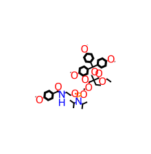 CCOC(=O)C(CC)(COC(c1ccc(OC)cc1)(c1ccc(OC)cc1)c1ccc(OC)cc1)C(=O)OCOP(OCCNC(=O)c1ccc(OC)cc1)N(C(C)C)C(C)C